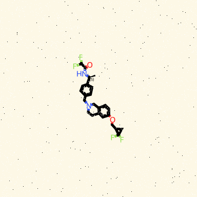 C[C@H](NC(=O)C(F)F)c1ccc(CN2CCc3cc(OCC4CC4(F)F)ccc3C2)cc1